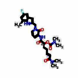 Cc1cc(F)cc2cc(Cn3cccc(NC(=O)[C@H](CC/C=C/C(=O)N(C)C)OC(=O)N(C)C)c3=O)[nH]c12